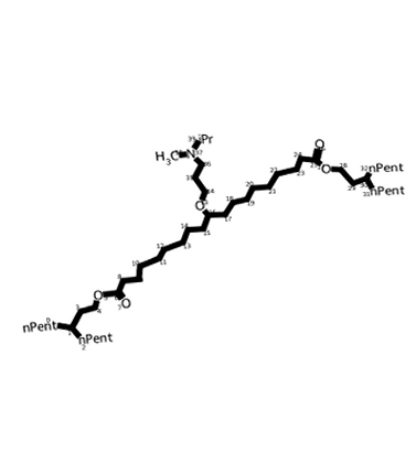 CCCCCC(CCCCC)CCOC(=O)CCCCCCCCC(CCCCCCCCC(=O)OCCC(CCCCC)CCCCC)OCCCN(C)C(C)C